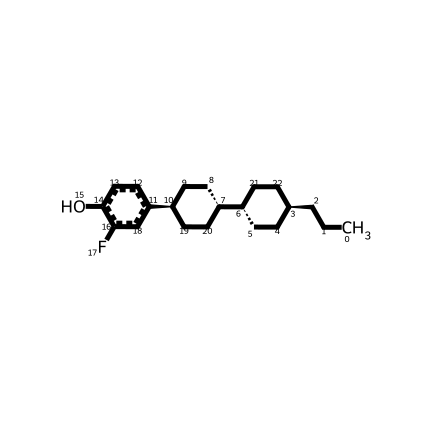 CCC[C@H]1CC[C@H]([C@H]2CC[C@H](c3ccc(O)c(F)c3)CC2)CC1